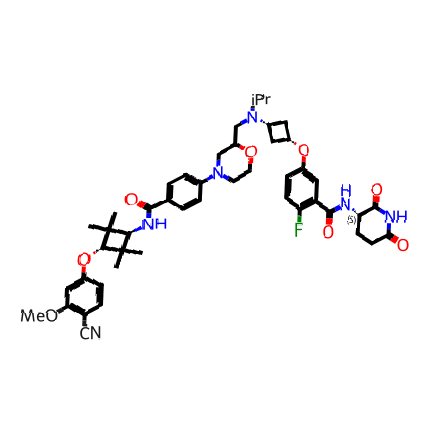 COc1cc(O[C@H]2C(C)(C)[C@H](NC(=O)c3ccc(N4CCOC(CN(C(C)C)[C@H]5C[C@@H](Oc6ccc(F)c(C(=O)N[C@H]7CCC(=O)NC7=O)c6)C5)C4)cc3)C2(C)C)ccc1C#N